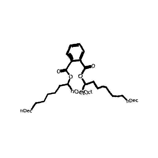 CCCCCCCCCCCCCCCC(CCCCCCCC)OC(=O)c1ccccc1C(=O)OC(CCCCCCCC)CCCCCCCCCCCCCCC